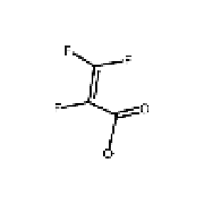 [O]C(=O)C(F)=C(F)F